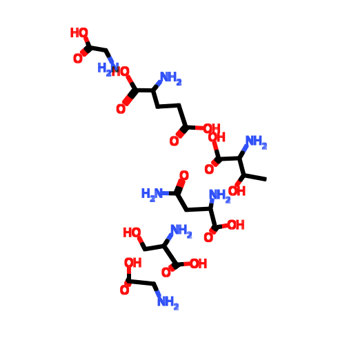 CC(O)C(N)C(=O)O.NC(=O)CC(N)C(=O)O.NC(CCC(=O)O)C(=O)O.NC(CO)C(=O)O.NCC(=O)O.NCC(=O)O